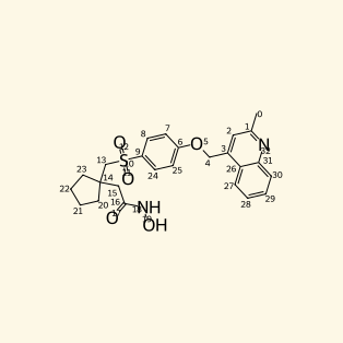 Cc1cc(COc2ccc(S(=O)(=O)CC3(CC(=O)NO)CCCC3)cc2)c2ccccc2n1